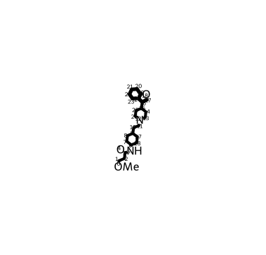 COCCC(=O)NC1CCC(CCN2CCC(c3coc4ccccc34)CC2)CC1